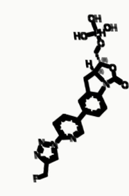 O=C1O[C@@H](CO[PH](O)(O)O)[C@@H]2Cc3cc(-c4ccc(-n5cc(CF)nn5)nc4)ccc3N12